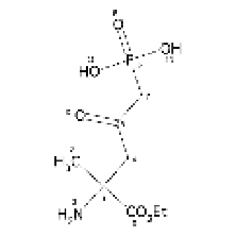 CCOC(=O)C(C)(N)CC(=O)CP(=O)(O)O